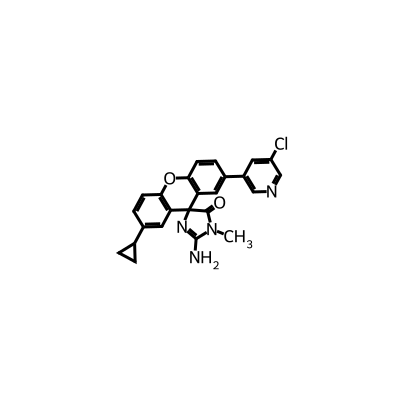 CN1C(=O)C2(N=C1N)c1cc(-c3cncc(Cl)c3)ccc1Oc1ccc(C3CC3)cc12